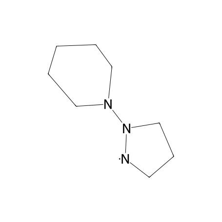 C1CCN(N2CCC[N]2)CC1